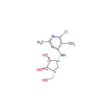 Cc1nc(Cl)c(C)c(N[C@@H]2C[C@H](CO)[C@@H](O)[C@H]2O)n1